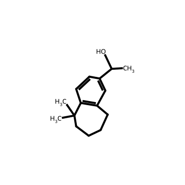 CC(O)c1ccc2c(c1)CCCCC2(C)C